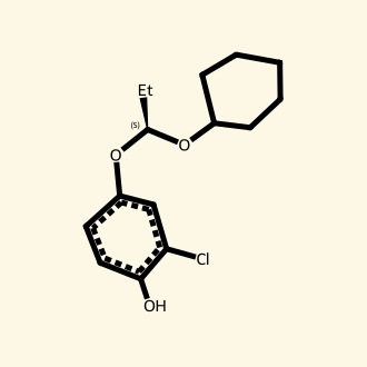 CC[C@H](Oc1ccc(O)c(Cl)c1)OC1CCCCC1